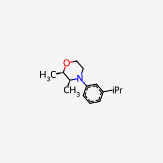 CC(C)c1cccc(N2CCO[C@H](C)[C@@H]2C)c1